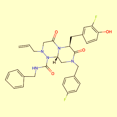 C=CCN1CC(=O)N2[C@@H](Cc3ccc(O)c(F)c3)C(=O)N(Cc3ccc(F)cc3)C[C@@H]2N1C(=O)NCc1ccccc1